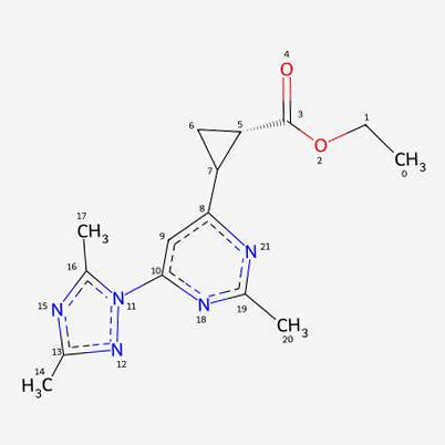 CCOC(=O)[C@H]1CC1c1cc(-n2nc(C)nc2C)nc(C)n1